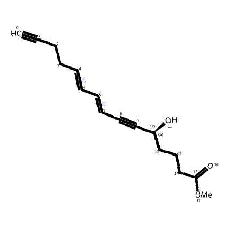 C#CCC/C=C/C=C/C#C[C@@H](O)CCCC(=O)OC